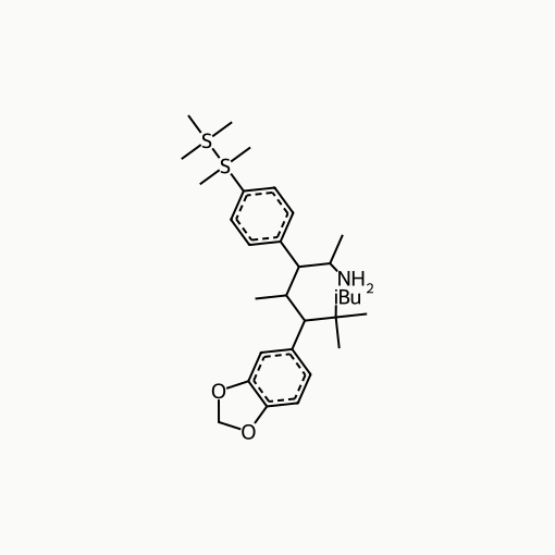 CCC(C)C(C)(C)C(c1ccc2c(c1)OCO2)C(C)C(c1ccc(S(C)(C)S(C)(C)C)cc1)C(C)N